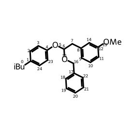 CCC(C)c1ccc(OC(Cc2cccc(OC)c2)OCc2ccccc2)cc1